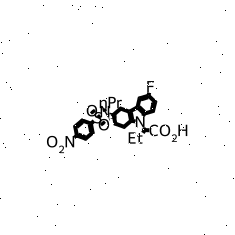 CCCN([C@H]1CCc2c(c3cc(F)ccc3n2C(CC)C(=O)O)C1)S(=O)(=O)c1ccc([N+](=O)[O-])cc1